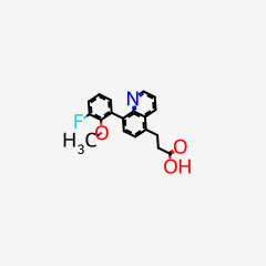 COc1c(F)cccc1-c1ccc(CCC(=O)O)c2cccnc12